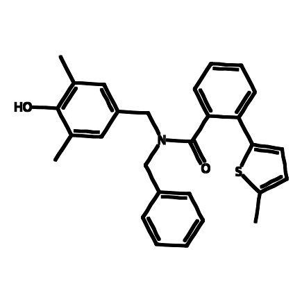 Cc1ccc(-c2ccccc2C(=O)N(Cc2ccccc2)Cc2cc(C)c(O)c(C)c2)s1